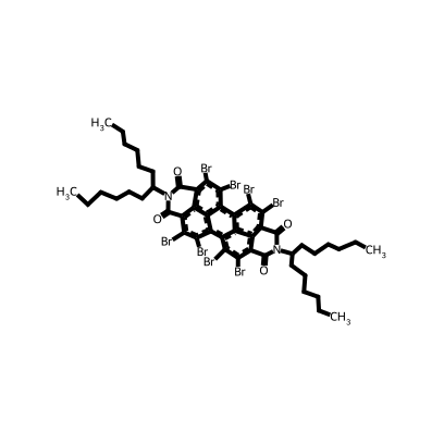 CCCCCCC(CCCCCC)N1C(=O)c2c(Br)c(Br)c3c4c(Br)c(Br)c5c6c(c(Br)c(Br)c(c7c(Br)c(Br)c(c2c37)C1=O)c64)C(=O)N(C(CCCCCC)CCCCCC)C5=O